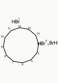 Br.Br.Br.C1CCCCCCCCCCC1